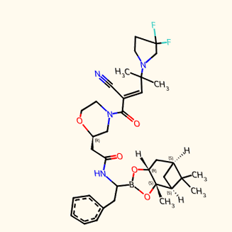 CC1(C)[C@@H]2C[C@H]3OB(C(Cc4ccccc4)NC(=O)C[C@@H]4CN(C(=O)C(C#N)=CC(C)(C)N5CCC(F)(F)C5)CCO4)O[C@@]3(C)[C@H]1C2